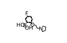 OB(O)c1cc(F)ccc1OCCN1CCCC1